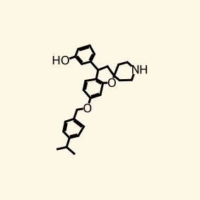 CC(C)c1ccc(COc2ccc3c(c2)OC2(CCNCC2)CC3c2cccc(O)c2)cc1